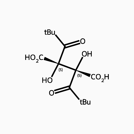 CC(C)(C)C(=O)[C@](O)(C(=O)O)[C@@](O)(C(=O)O)C(=O)C(C)(C)C